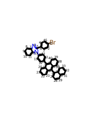 Brc1ccc(-c2nc3ccccc3n2-c2ccc(-c3c4ccccc4c(-c4cccc5ccccc45)c4ccccc34)cc2)cc1